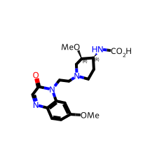 COc1ccc2ncc(=O)n(CCN3CC[C@@H](NC(=O)O)[C@H](OC)C3)c2c1